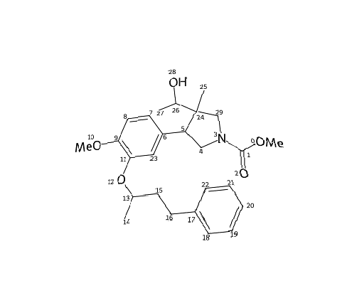 COC(=O)N1CC(c2ccc(OC)c(OC(C)CCc3ccccc3)c2)C(C)(C(C)O)C1